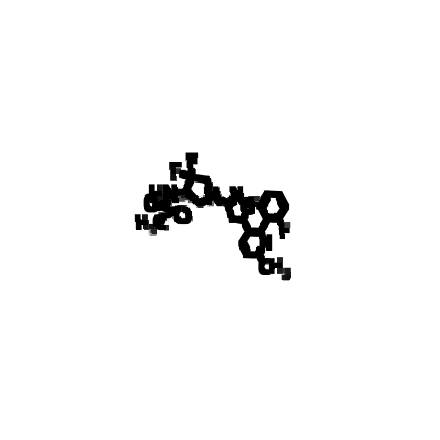 Cc1ccc(C2CC(N3C[C@@H](NS(C)(=O)=O)C(F)(F)C3)=NO2)c(-c2c(F)cccc2F)n1